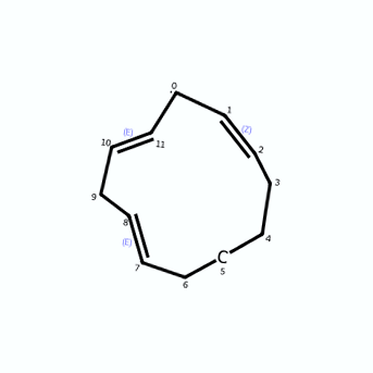 [CH]1/C=C\CCCC/C=C/C/C=C/1